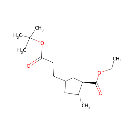 CCOC(=O)[C@@H]1CC(CCC(=O)OC(C)(C)C)C[C@H]1C